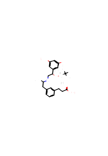 CC(Cc1cccc(CCC(=O)O)c1)NCC(O[Si](C)(C)C(C)(C)C)c1cc(O)cc(O)c1